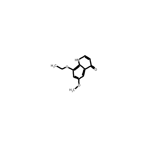 CCOc1cc(OC)cc2c(=O)cc[nH]c12